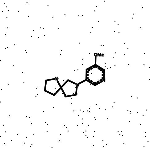 COc1cncc(N2C[CH]C3(CCC[N]3)C2)c1